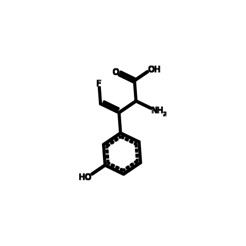 NC(C(=O)O)C(=CF)c1cccc(O)c1